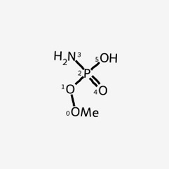 COOP(N)(=O)O